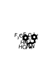 Cl.FC(F)(F)c1cccc(Cc2cc(Nc3cccc(C(F)(F)F)c3)ncn2)c1